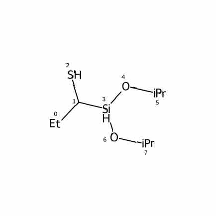 CCC(S)[SiH](OC(C)C)OC(C)C